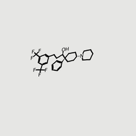 O[C@H](CCc1cc(C(F)(F)F)cc(C(F)(F)F)c1)[C@]1(c2ccccc2)CC[C@H](N2CCCCC2)CC1